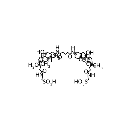 C[C@H](CCC(=O)NCCS(=O)(=O)O)[C@H]1CC[C@@H]2C3[C@@H](CC[C@@]21C)[C@@]1(C)CC[C@H](NC(=O)CCCC(=O)N[C@H]2CC[C@@]4(C)C(C2)C[C@H](O)C2[C@H]5CC[C@H]([C@H](C)CCC(=O)NCCS(=O)(=O)O)[C@@]5(C)CC[C@H]24)CC1C[C@@H]3O